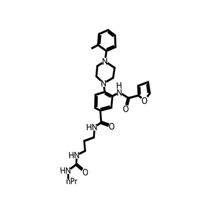 CCCNC(=O)NCCCNC(=O)c1ccc(N2CCN(c3ccccc3C)CC2)c(NC(=O)c2ccco2)c1